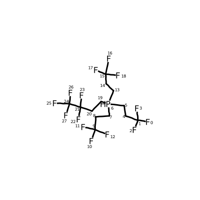 FC(F)(F)CC[PH](CCC(F)(F)F)(CCC(F)(F)F)CCC(F)(F)C(F)(F)F